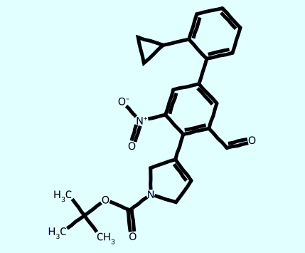 CC(C)(C)OC(=O)N1CC=C(c2c(C=O)cc(-c3ccccc3C3CC3)cc2[N+](=O)[O-])C1